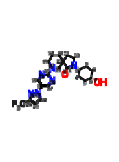 O=C1N([C@H]2CC[C@@H](O)CC2)CCC12CCCN(c1ncc(-n3ccc(C(F)(F)F)n3)cn1)C2